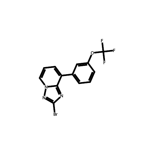 FC(F)(F)Oc1cccc(-c2cccn3nc(Br)nc23)c1